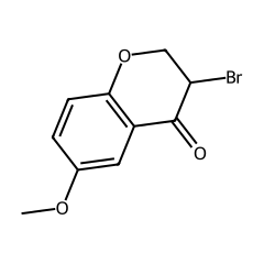 COc1ccc2c(c1)C(=O)C(Br)CO2